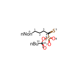 CCCCCCCCCCCCC(=S)S(=O)(=O)OC(=O)CCCC